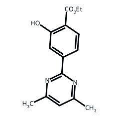 CCOC(=O)c1ccc(-c2nc(C)cc(C)n2)cc1O